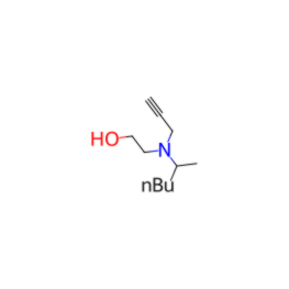 C#CCN(CCO)C(C)CCCC